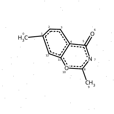 Cc1ccc2c(=O)nc(C)oc2c1